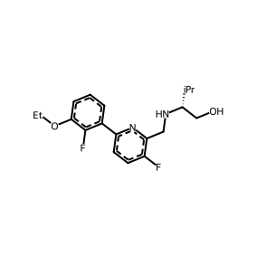 CCOc1cccc(-c2ccc(F)c(CN[C@@H](CO)C(C)C)n2)c1F